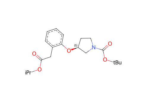 CC(C)OC(=O)Cc1ccccc1O[C@H]1CCN(C(=O)OC(C)(C)C)C1